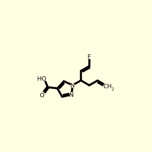 C=CCC(/C=C/F)n1cc(C(=O)O)cn1